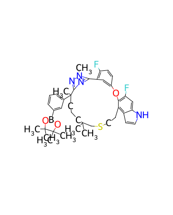 Cn1nc2nc1-c1cc(ccc1F)Oc1c(F)cc3[nH]ccc3c1CCSCC(C)(C)CCCC2(C)c1cccc(B2OC(C)(C)C(C)(C)O2)c1